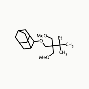 CCC(C)(C)C(COC)(COC)COC1C2CC3CC(C2)CC1C3